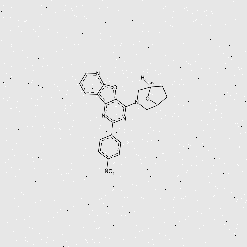 O=[N+]([O-])c1ccc(-c2nc(N3CC4CC[C@H](C3)O4)c3oc4ncccc4c3n2)cc1